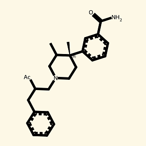 CC(=O)C(Cc1ccccc1)CN1CC[C@@](C)(c2cccc(C(N)=O)c2)C(C)C1